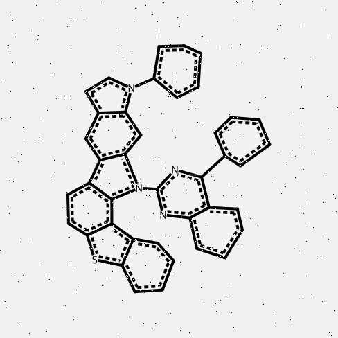 c1ccc(-c2nc(-n3c4cc5c(ccn5-c5ccccc5)cc4c4ccc5sc6ccccc6c5c43)nc3ccccc23)cc1